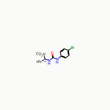 CCC[C@H](NC(=O)Nc1ccc(Br)cc1)C(=O)O